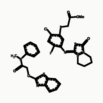 CN(C(=O)COc1nc2ccccc2s1)c1ccccc1.COC(=O)CSc1cc(/N=c2\sc(=O)n3n2CCCC3)c(F)cc1Cl